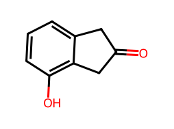 O=C1Cc2cccc(O)c2C1